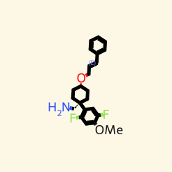 COc1cc(F)c([C@]2(CN)CC[C@@H](OC/C=C/c3ccccc3)CC2)cc1F